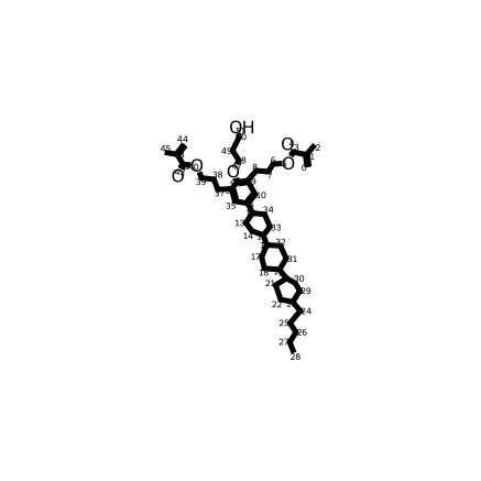 C=C(C)C(=O)OCCCc1cc(C2CCC(C3CCC(C4CCC(CCCCC)CC4)CC3)CC2)cc(CCCOC(=O)C(=C)C)c1OCCCO